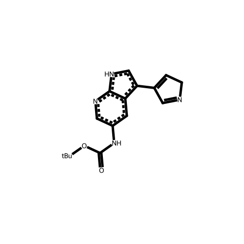 CC(C)(C)OC(=O)Nc1cnc2[nH]cc(C3=CCN=C3)c2c1